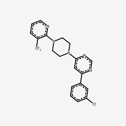 FC(F)(F)c1cccnc1N1CCN(c2cc(-c3cccc(Cl)c3)ncn2)CC1